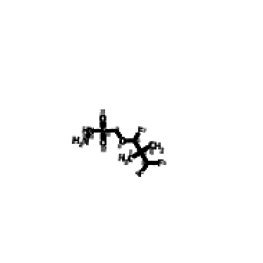 CC(C)(C(F)F)C(F)OCS(=O)(=O)NN